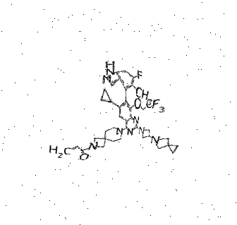 C=CC(=O)N1CC2(CCN(c3nc(N4CC(N5CC6(CC6)C5)C4)nc4c(OCC(F)(F)F)c(-c5c(C)c(F)cc6[nH]ncc56)c(C5CC5)cc34)CC2)C1